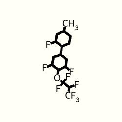 CC1CCC(C2CC(F)C(OC(F)(F)C(F)C(F)(F)F)C(F)C2)C(F)C1